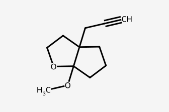 C#CCC12CCCC1(OC)OCC2